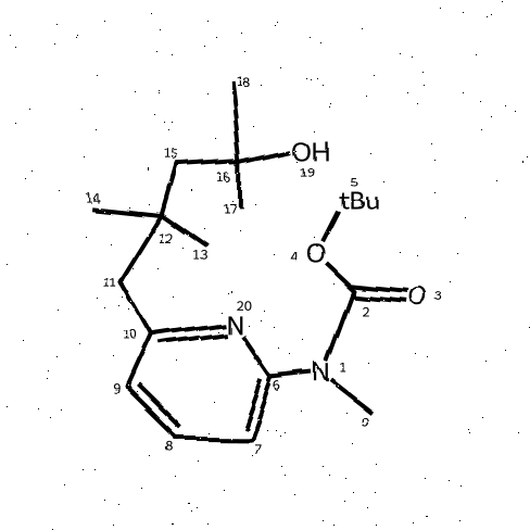 CN(C(=O)OC(C)(C)C)c1cccc(CC(C)(C)CC(C)(C)O)n1